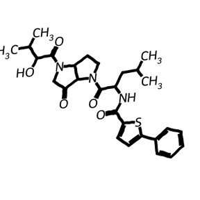 CC(C)CC(NC(=O)c1ccc(-c2ccccc2)s1)C(=O)N1CCC2C1C(=O)CN2C(=O)C(O)C(C)C